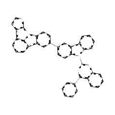 c1ccc(-c2nc(-n3c4ccccc4c4cc(-c5ccc6c(c5)c5cccc7c8ccsc8n6c57)ccc43)nc3ccccc23)cc1